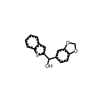 OC(c1ccc2c(c1)OCO2)c1cc2ccccc2s1